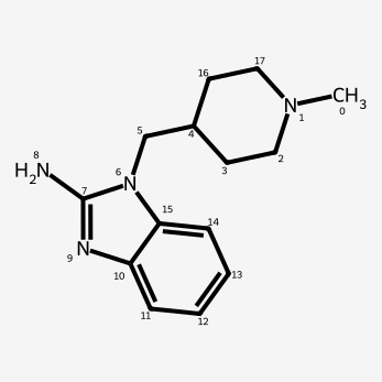 CN1CCC(Cn2c(N)nc3ccccc32)CC1